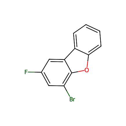 Fc1cc(Br)c2oc3ccccc3c2c1